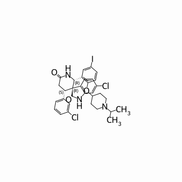 CC(C)N1CCC(Oc2ccc(I)cc2[C@H]2NC(=O)C[C@@H](c3cccc(Cl)c3)[C@]23C(=O)Nc2cc(Cl)ccc23)CC1